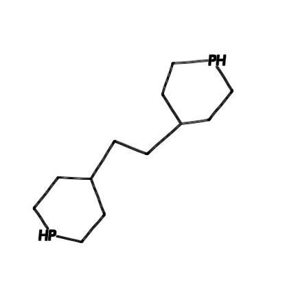 C1CC(CCC2CCPCC2)CCP1